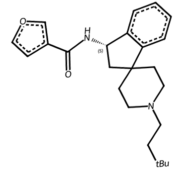 CC(C)(C)CCN1CCC2(CC1)C[C@H](NC(=O)c1ccoc1)c1ccccc12